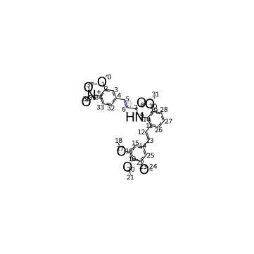 COc1cc(/C=C/C(=O)Nc2c(C=Cc3cc(OC)c(OC)c(OC)c3)cccc2OC)ccc1[N+](=O)[O-]